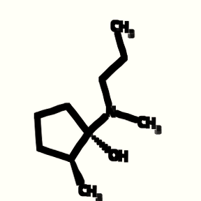 CCCN(C)[C@]1(O)CCC[C@@H]1C